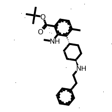 CNc1c(C(=O)OC(C)(C)C)ccc(C)c1[C@H]1CC[C@H](NCCc2ccccc2)CC1